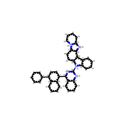 c1ccc(-c2ccc(-c3nc(-n4c5ccccc5c5c6nc7ccccn7c6ccc54)nc4ccccc34)c3ccccc23)cc1